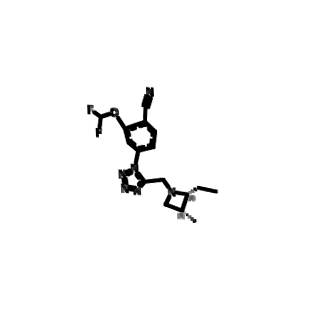 CC[C@@H]1[C@H](C)CN1Cc1nnnn1-c1ccc(C#N)c(OC(F)F)c1